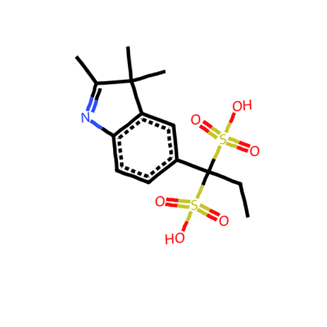 CCC(c1ccc2c(c1)C(C)(C)C(C)=N2)(S(=O)(=O)O)S(=O)(=O)O